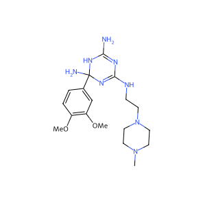 COc1ccc(C2(N)N=C(NCCN3CCN(C)CC3)N=C(N)N2)cc1OC